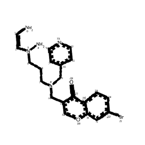 N/C=C\N(N)CCCN(Cc1ccncc1)Cc1coc2cc(Br)ccc2c1=O